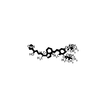 C=C1/C(=C\C=C2/CCC[C@]3(C)[C@@H]([C@H](C)CCCC(O)c4cocn4)CC[C@@H]23)C[C@@H](O[Si](C)(C)C(C)(C)C)C[C@@H]1O[Si](C)(C)C(C)(C)C